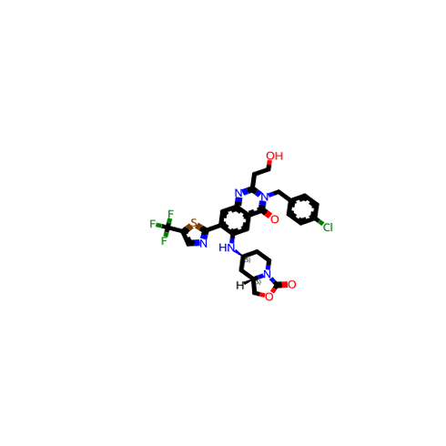 O=C1OC[C@@H]2C[C@@H](Nc3cc4c(=O)n(Cc5ccc(Cl)cc5)c(CCO)nc4cc3-c3ncc(C(F)(F)F)s3)CCN12